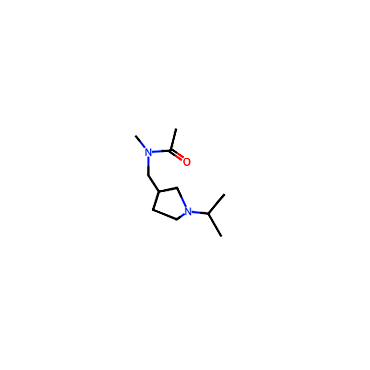 CC(=O)N(C)CC1CCN(C(C)C)C1